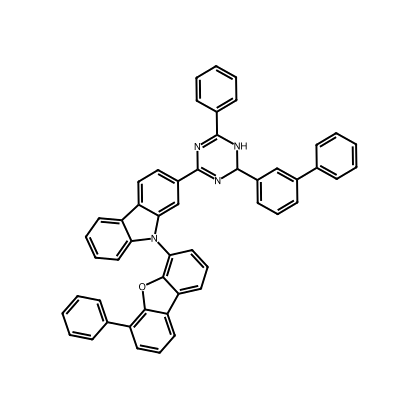 c1ccc(C2=NC(c3ccc4c5ccccc5n(-c5cccc6c5oc5c(-c7ccccc7)cccc56)c4c3)=NC(c3cccc(-c4ccccc4)c3)N2)cc1